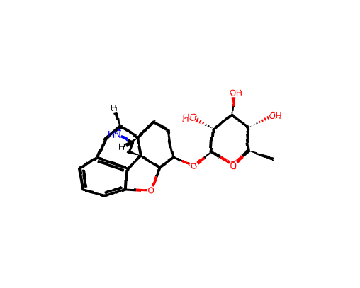 C[C@H]1O[C@@H](OC2CC[C@H]3[C@H]4Cc5cccc6c5[C@@]3(CCN4)C2O6)[C@H](O)[C@@H](O)[C@@H]1O